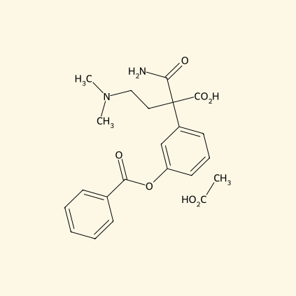 CC(=O)O.CN(C)CCC(C(N)=O)(C(=O)O)c1cccc(OC(=O)c2ccccc2)c1